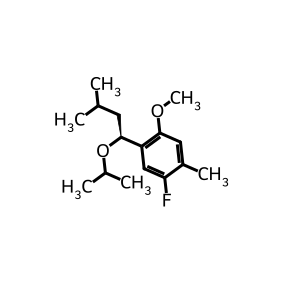 COc1cc(C)c(F)cc1[C@H](CC(C)C)OC(C)C